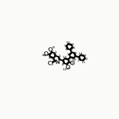 COc1cc2cc(-c3cc(OC)c(OC)c(-c4cc(-c5ccccc5)cc(-c5ccccc5)c4)c3)nc(Cl)c2cc1OC